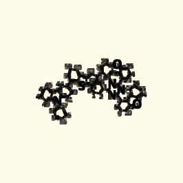 c1ccc(-c2nc(-c3cccc4oc5ccccc5c34)nc(-c3cccc4oc5ccc(-c6ccc7sc8c(-c9ccc%10c(c9)c9ccccc9n%10-c9ccccc9)cccc8c7c6)cc5c34)n2)cc1